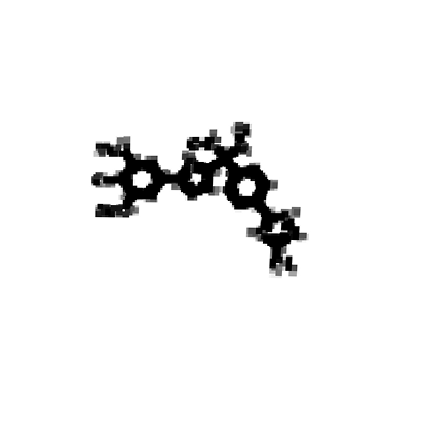 CCOC(C=O)(c1ccc(-c2nnc(C)o2)cc1)c1ccc(-c2cc(OC)c(Cl)c(OC)c2)o1